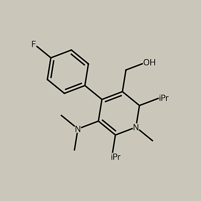 CC(C)C1=C(N(C)C)C(c2ccc(F)cc2)=C(CO)C(C(C)C)N1C